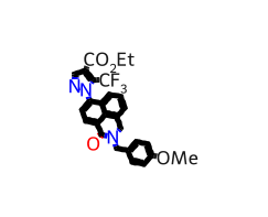 CCOC(=O)c1cnn(-c2ccc3c4c(cccc24)CN(Cc2ccc(OC)cc2)C3=O)c1C(F)(F)F